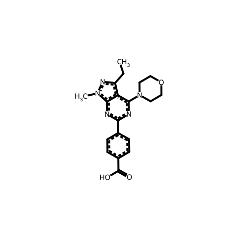 CCc1nn(C)c2nc(-c3ccc(C(=O)O)cc3)nc(N3CCOCC3)c12